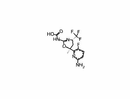 C[C@@]1(c2nc(N)ccc2F)C[C@@H](C(F)(F)F)N=C(NC(=O)O)O1